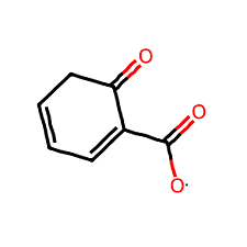 [O]C(=O)C1=CC=CCC1=O